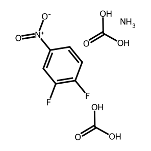 N.O=C(O)O.O=C(O)O.O=[N+]([O-])c1ccc(F)c(F)c1